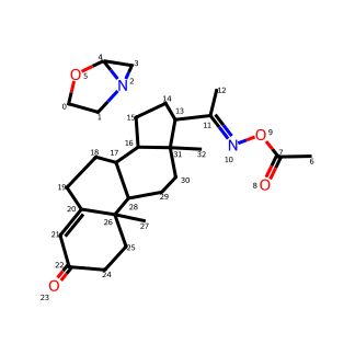 C1CN2CC2O1.CC(=O)ON=C(C)C1CCC2C3CCC4=CC(=O)CCC4(C)C3CCC12C